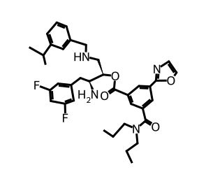 CCCN(CCC)C(=O)c1cc(C(=O)O[C@H](CNCc2cccc(C(C)C)c2)[C@@H](N)Cc2cc(F)cc(F)c2)cc(-c2ncco2)c1